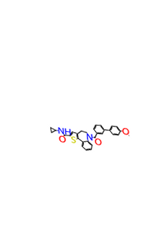 COc1ccc(-c2cccc(C(=O)N3CCc4cc(C(=O)NC5CC5)sc4-c4ccccc43)c2)cc1